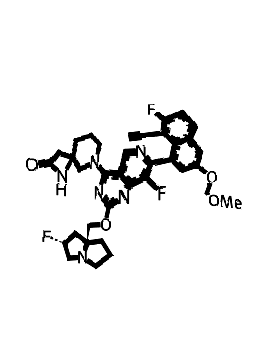 C#Cc1c(F)ccc2cc(OCOC)cc(-c3ncc4c(N5CCCC6(CC(=O)N6)C5)nc(OC[C@@]56CCCN5C[C@H](F)C6)nc4c3F)c12